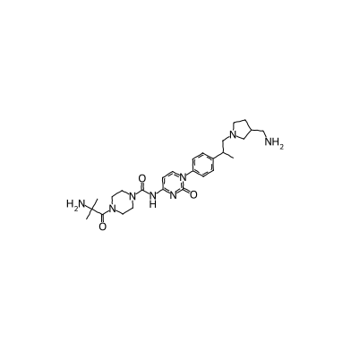 CC(CN1CCC(CN)C1)c1ccc(-n2ccc(NC(=O)N3CCN(C(=O)C(C)(C)N)CC3)nc2=O)cc1